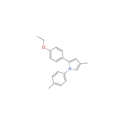 CCOc1ccc(-c2cc(C)cn2-c2ccc(C)cc2)cc1